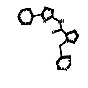 O=C(Nc1nc(-c2ccccc2)cs1)c1cccn1Cc1ccncc1